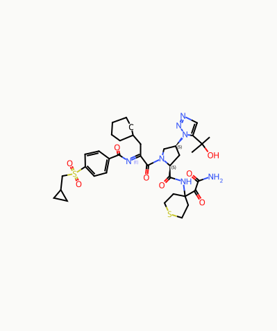 CC(C)(O)c1cnnn1[C@H]1C[C@@H](C(=O)NC2(C(=O)C(N)=O)CCSCC2)N(C(=O)/C(CC2CCCCC2)=N/C(=O)c2ccc(S(=O)(=O)CC3CC3)cc2)C1